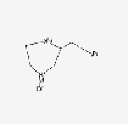 CC(C)CC1C[NH+]([O-])CCN1